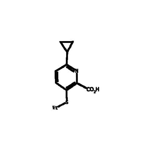 CCSc1ccc(C2CC2)nc1C(=O)O